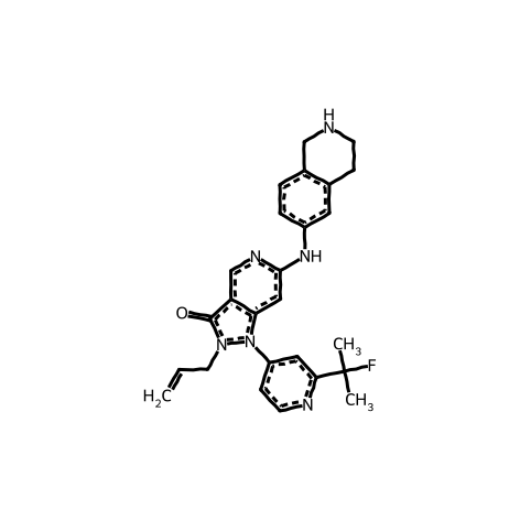 C=CCn1c(=O)c2cnc(Nc3ccc4c(c3)CCNC4)cc2n1-c1ccnc(C(C)(C)F)c1